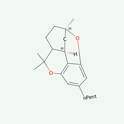 CCCCCc1cc2c3c(c1)O[C@]1(C)CCC([C@H]3C1)C(C)(C)O2